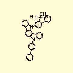 CC1(C)c2ccccc2-c2ccc(-n3c4ccccc4c4ccc5c(c6ccccc6n5-c5ccc(-c6ccccc6)cc5)c43)cc21